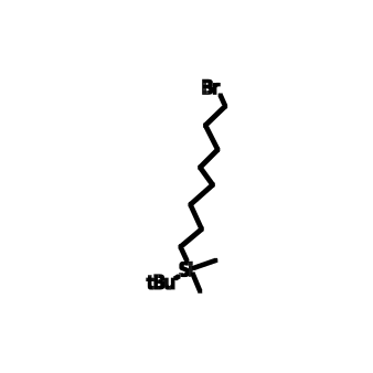 CC(C)(C)[Si](C)(C)CCCCCCCCBr